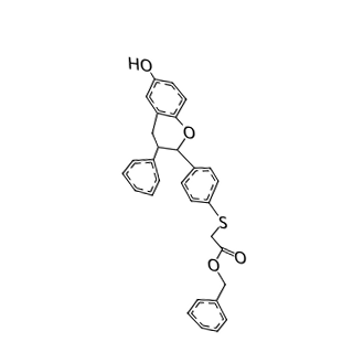 O=C(CSc1ccc(C2Oc3ccc(O)cc3CC2c2ccccc2)cc1)OCc1ccccc1